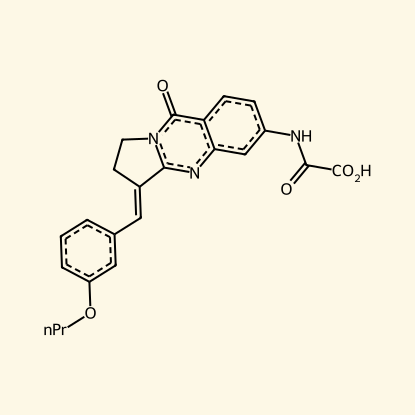 CCCOc1cccc(C=C2CCn3c2nc2cc(NC(=O)C(=O)O)ccc2c3=O)c1